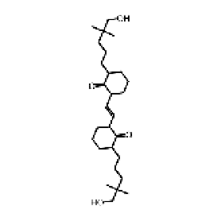 CC(C)(CO)CCCC1CCCC(/C=C/C2CCCC(CCCC(C)(C)CO)C2=O)C1=O